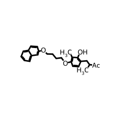 CC(=O)C(C)Cc1ccc(OCCCCOc2ccc3ccccc3c2)c(C)c1O